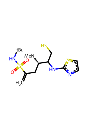 C=C(C[C@@H](NC)C(CS)Nc1nccs1)S(=O)(=O)NC(C)(C)C